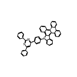 c1ccc(-c2cc(-c3ccc(-n4c5ccccc5c5c6c7ccccc7c7ccccc7c6c6ccccc6c54)cc3)nc(-c3ccccc3)n2)cc1